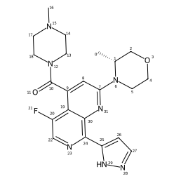 C[C@@H]1COCCN1c1cc(C(=O)N2CCN(C)CC2)c2c(F)cnc(-c3ccn[nH]3)c2n1